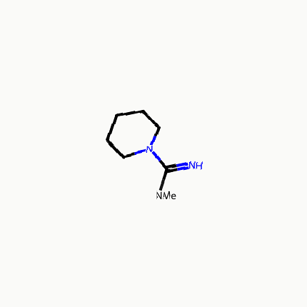 CNC(=N)N1CCCCC1